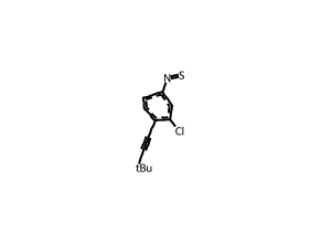 CC(C)(C)C#Cc1ccc(N=S)cc1Cl